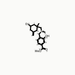 C=C1CC(CC)CC(C)(CN(C)Cc2ccc(C(=O)OC)cc2O)C1